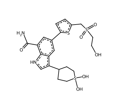 NC(=O)c1cc(-c2ccc(CS(=O)(=O)CCO)s2)cc2c(C3CCS(O)(O)CC3)c[nH]c12